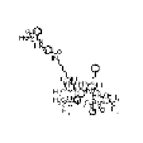 CC(=O)N1CCC[C@H]1C(=O)N[C@@H](CC(C)C)C(=O)NCC(=O)N[C@@H](CCc1ccccc1)C(=O)N[C@@H](Cc1ccc(OC(C)(C)C)cc1)C(=O)N[C@@H](CC(C)C)C(=O)NNC(=O)CCCCCNC(=O)c1ccc(NN=Cc2ccccc2S(=O)(=O)O)nc1